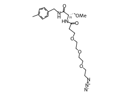 COC[C@H](NC(=O)CCOCCOCCOCCN=[N+]=[N-])C(=O)NCc1ccc(C)cc1